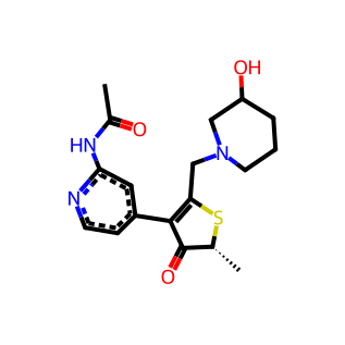 CC(=O)Nc1cc(C2=C(CN3CCCC(O)C3)S[C@H](C)C2=O)ccn1